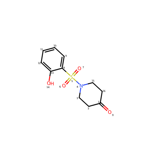 O=C1CCN(S(=O)(=O)c2ccccc2O)CC1